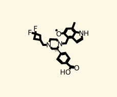 COc1cc(C)c2[nH]ccc2c1CN1CCN(CC2CC(F)(F)C2)C[C@@H]1c1ccc(C(=O)O)cc1